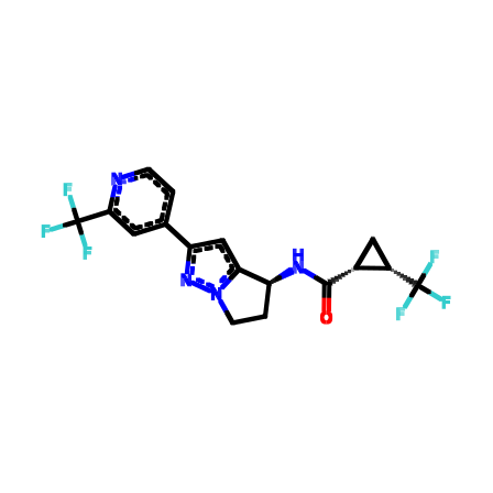 O=C(N[C@H]1CCn2nc(-c3ccnc(C(F)(F)F)c3)cc21)[C@@H]1C[C@@H]1C(F)(F)F